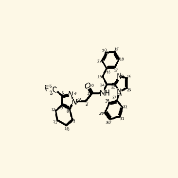 O=C(Cn1nc(C(F)(F)F)c2c1CCCC2)NC(Cc1ccccc1)c1nccn1-c1ccccc1